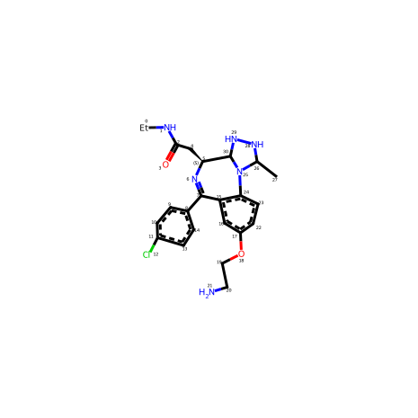 CCNC(=O)C[C@@H]1N=C(c2ccc(Cl)cc2)c2cc(OCCN)ccc2N2C(C)NNC12